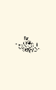 CCc1ccc2oc(=O)c(C(c3cc(Br)cs3)c3c(O)c4cc(CC)ccc4oc3=O)c(O)c2c1